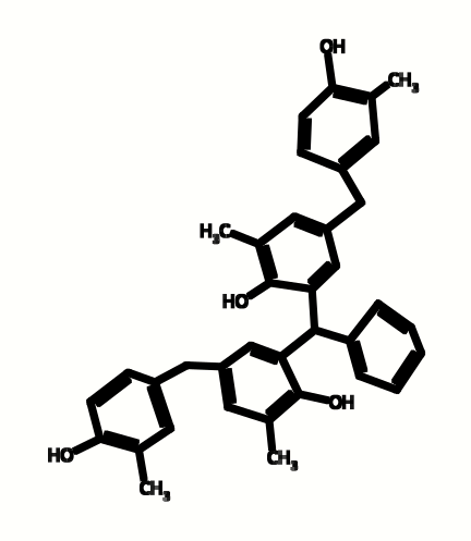 Cc1cc(Cc2cc(C)c(O)c(C(c3ccccc3)c3cc(Cc4ccc(O)c(C)c4)cc(C)c3O)c2)ccc1O